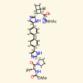 COC(=O)N[C@H](C(=O)N1CCC[C@H]1c1ncc(-c2ccc(-c3ccc(-c4cnc([C@@H]5C6CC[C@H]6[C@H]5C(=O)NNC(C)=O)[nH]4)cc3)cc2)[nH]1)C(C)C